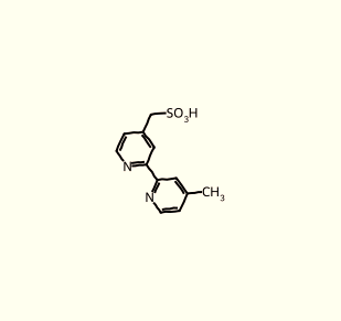 Cc1ccnc(-c2cc(CS(=O)(=O)O)ccn2)c1